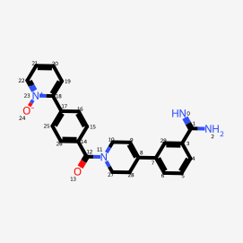 N=C(N)c1cccc(C2=CCN(C(=O)c3ccc(-c4cccc[n+]4[O-])cc3)CC2)c1